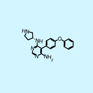 Nc1ncnc(N[C@@H]2CCNC2)c1-c1ccc(Oc2ccccc2)cc1